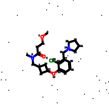 COCCC(=O)N(C)CC1CC(Oc2cccc(CN3CCCC3)c2Cl)C1